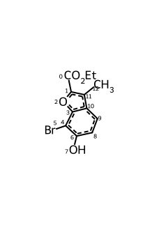 CCOC(=O)c1oc2c(Br)c(O)ccc2c1C